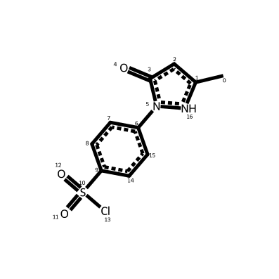 Cc1cc(=O)n(-c2ccc(S(=O)(=O)Cl)cc2)[nH]1